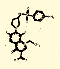 CCn1cc(C(=O)O)c(=O)c2cc(F)c(N3CCC(NS(=O)(=O)c4ccc(N)cc4)C3)c(F)c21